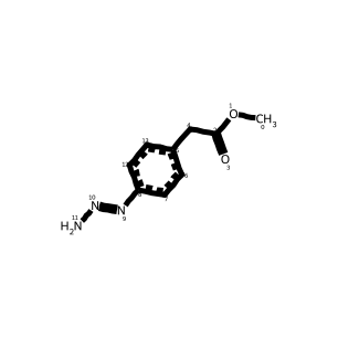 COC(=O)Cc1ccc(N=NN)cc1